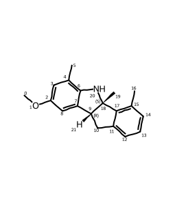 COc1cc(C)c2c(c1)[C@H]1Cc3cccc(C)c3[C@@]1(C)N2